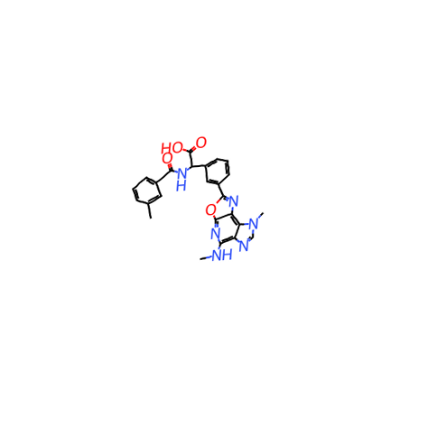 CNc1nc2oc(-c3cccc(C(NC(=O)c4cccc(C)c4)C(=O)O)c3)nc2c2c1ncn2C